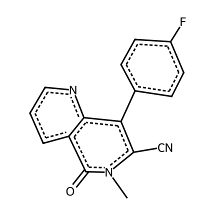 Cn1c(C#N)c(-c2ccc(F)cc2)c2ncccc2c1=O